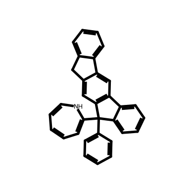 C1=CC=C(C2(c3ccccc3)c3ccccc3-c3cc4c(cc32)Cc2ccccc2-4)NC=C1